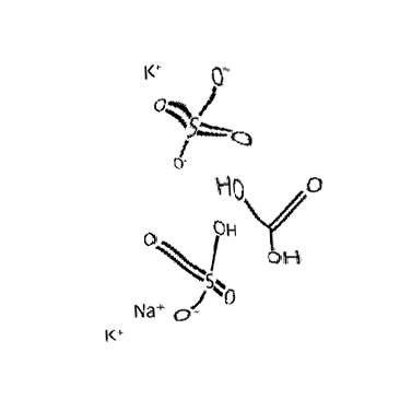 O=C(O)O.O=S(=O)([O-])O.O=S(=O)([O-])[O-].[K+].[K+].[Na+]